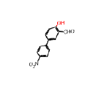 O=Cc1cc(-c2ccc([N+](=O)[O-])cc2)ccc1O